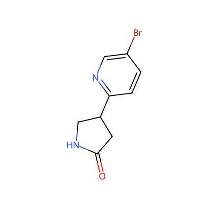 O=C1CC(c2ccc(Br)cn2)CN1